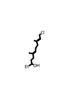 CCC(O)CC/C(C)=C/CC/C(C)=C/CCl